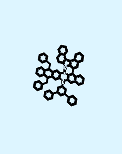 c1ccc(Cc2c3ccccc3c(Cc3ccccc3)c3cc4c(cc23)B2c3c(cc5ccccc5c3-c3cc5ccccc5c5c6c7ccccc7ccc6n2c35)N4c2cc(-c3ccccc3)cc(-c3ccccc3)c2)cc1